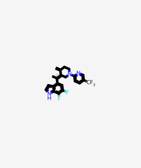 C=C1CCN(c2ccc(C(F)(F)F)cn2)C/C1=C(/C)c1cc(F)c(F)c2[nH]ccc12